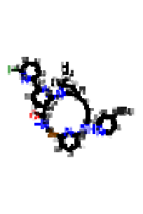 CC(C)(C)c1ccnc([C@H]2CC[C@@H]3CN(c4nc(-c5cccc(F)n5)ccc4C(=O)NSc4cccc(n4)N2)C(C)(C)C3)c1